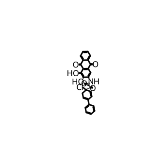 O=C1c2ccccc2C(=O)c2c1cc(NS(=O)(=O)C1(Cl)C=CC(c3ccccc3)=CC1)c(O)c2O